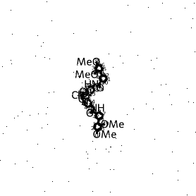 COc1ccc(-c2cccc(C(=O)NC3CCN(OP(=O)(Cl)ON4CCC(NC(=O)c5cccc(-c6ccc(OC)cc6OC)c5)CC4)CC3)c2)c(OC)c1